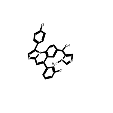 Cn1cncc1C(O)c1ccc2c(c1)c(-c1cccc(Cl)c1)cc1ncc(-c3ccc(Cl)cc3)n12